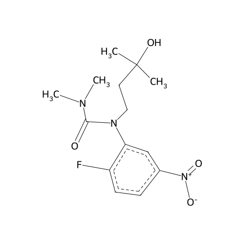 CN(C)C(=O)N(CCC(C)(C)O)c1cc([N+](=O)[O-])ccc1F